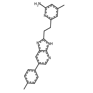 Cc1ccc(-c2cnc3[nH]c(CCc4cc(C)cc(N)n4)nc3c2)cc1